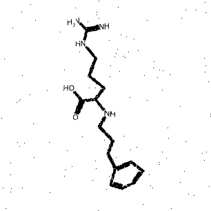 N=C(N)NCCCC(NCCCc1ccccc1)C(=O)O